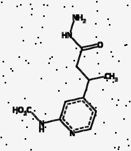 CC(CC(=O)NN)c1ccnc(NC(=O)O)c1